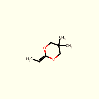 C[C]=C1OCC(C)(C)CO1